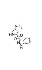 NC1CNC(S(=O)(=O)c2n[nH]c3ccccc23)C1